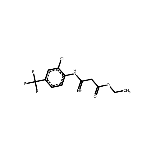 CCOC(=O)CC(=N)Nc1ccc(C(F)(F)F)cc1Cl